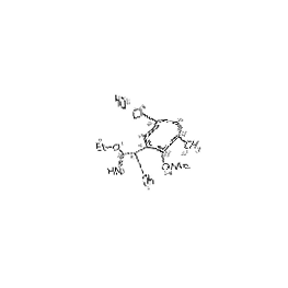 CCOC(=N)C(O)c1cc(Cl)cc(C)c1OC.Cl